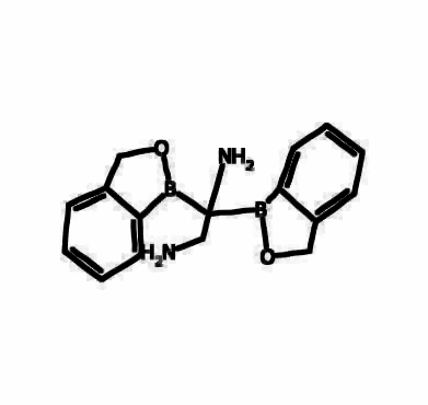 NCC(N)(B1OCc2ccccc21)B1OCc2ccccc21